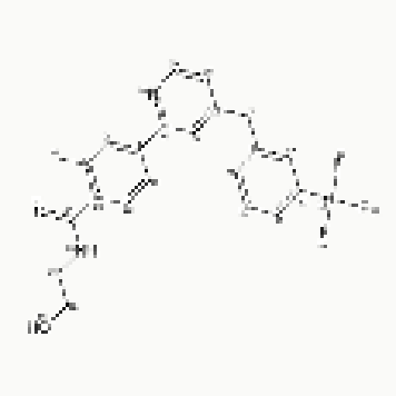 Cc1cc(-c2cc(Cc3cccc(C(F)(F)F)c3)ccn2)ccc1C(=O)NCCO